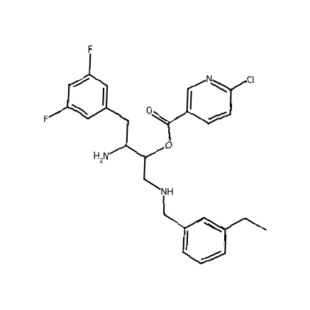 CCc1cccc(CNCC(OC(=O)c2ccc(Cl)nc2)C(N)Cc2cc(F)cc(F)c2)c1